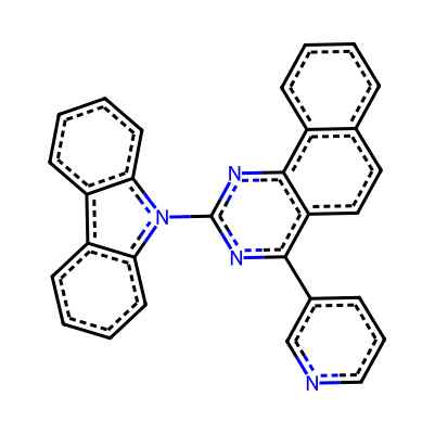 c1cncc(-c2nc(-n3c4ccccc4c4ccccc43)nc3c2ccc2ccccc23)c1